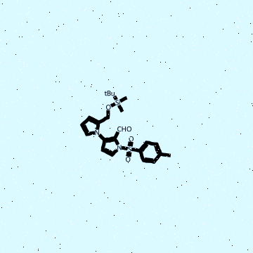 Cc1ccc(S(=O)(=O)n2ccc(-n3cccc3CO[Si](C)(C)C(C)(C)C)c2C=O)cc1